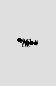 CCn1c(=O)c(-c2ccc(-c3cccnc3)cc2Cl)cc2cnc(NCc3ccccc3)nc21